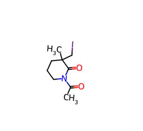 CC(=O)N1CCCC(C)(CI)C1=O